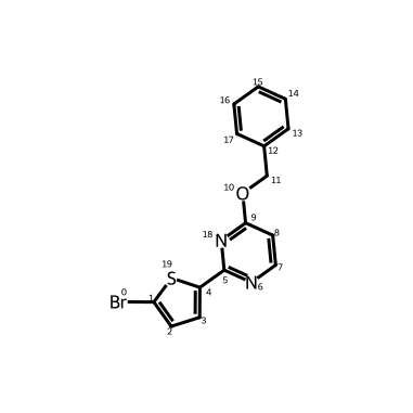 Brc1ccc(-c2nccc(OCc3ccccc3)n2)s1